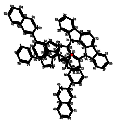 c1ccc(-n2cnc3c(-c4nccc(-n5c6ccccc6c6ccc7c8ccccc8n(-c8nc(-c9cccc(-c%10cc%11ccccc%11cn%10)c9)nc(-c9cccc(-c%10cc%11ccccc%11cn%10)c9)n8)c7c65)n4)ncnc32)cc1